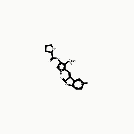 Cc1c(NC(=O)C2CCCN2)c[nH]c1C=C1C(=O)Nc2ccc(F)cc21.Cl